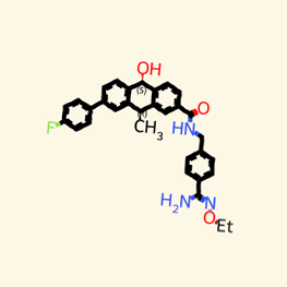 CCON=C(N)c1ccc(CNC(=O)c2ccc3c(c2)[C@H](C)c2cc(-c4ccc(F)cc4)ccc2[C@@H]3O)cc1